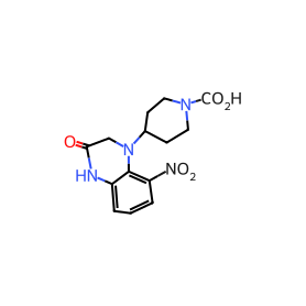 O=C1CN(C2CCN(C(=O)O)CC2)c2c(cccc2[N+](=O)[O-])N1